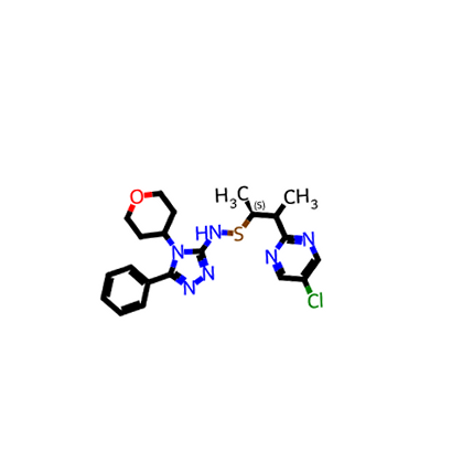 CC(c1ncc(Cl)cn1)[C@H](C)SNc1nnc(-c2ccccc2)n1C1CCOCC1